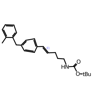 Cc1ccccc1Cc1ccc(/C=C/CCCNC(=O)OC(C)(C)C)cc1